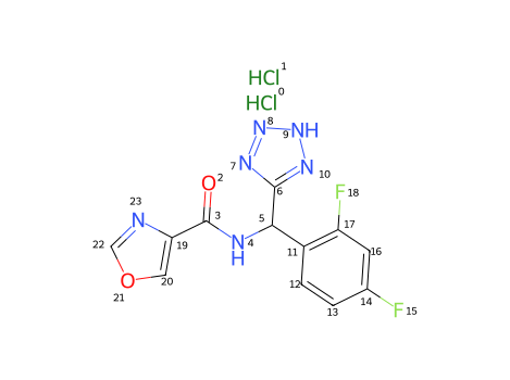 Cl.Cl.O=C(NC(c1nn[nH]n1)c1ccc(F)cc1F)c1cocn1